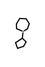 C1CCCN(C2CCCC2)CC1